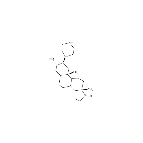 C[C@]12C[C@H](N3CCNCC3)[C@@H](O)CC1CCC1C2CC[C@]2(C)C(=O)CCC12